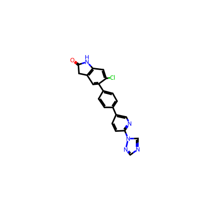 O=C1Cc2cc(-c3ccc(-c4ccc(-n5cncn5)nc4)cc3)c(Cl)cc2N1